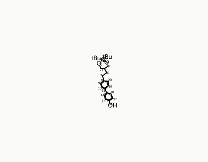 CC(C)(C)[Si]1(C(C)(C)C)OCC(CCc2ccc(-c3ccc(O)cc3)cc2)CO1